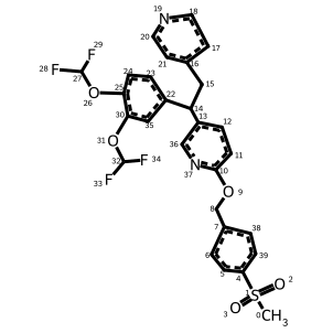 CS(=O)(=O)c1ccc(COc2ccc(C(Cc3ccncc3)c3ccc(OC(F)F)c(OC(F)F)c3)cn2)cc1